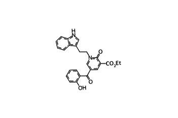 CCOC(=O)c1cc(C(=O)c2ccccc2O)cn(CCc2c[nH]c3ccccc23)c1=O